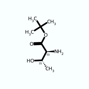 C[C@H](O)[C@H](N)C(=O)OC(C)(C)C